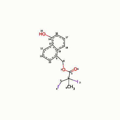 CC(I)(CI)C(=O)OCc1cccc2c(O)cccc12